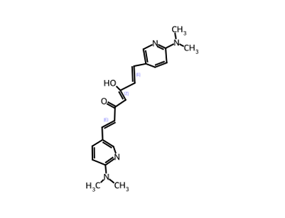 CN(C)c1ccc(/C=C/C(=O)/C=C(O)/C=C/c2ccc(N(C)C)nc2)cn1